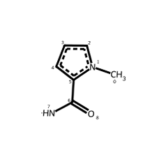 Cn1cccc1C([NH])=O